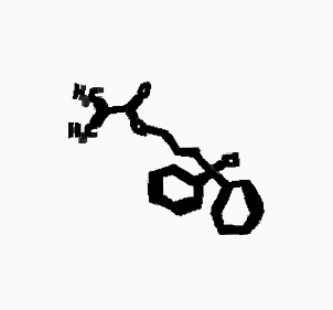 C=C(C)C(=O)OCCC[Si](Cl)(c1ccccc1)c1ccccc1